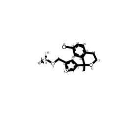 CC1(c2csc(CO[SH](#P)I)c2)OCCc2ccc(Cl)cc21